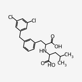 CC(C)CC(NC(Cc1cccc(Cc2cc(Cl)cc(Cl)c2)c1)C(=O)O)C(=O)O